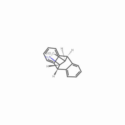 CCOC(=O)[C@H]1[C@H]2c3ccccc3[C@@H](c3ccccc32)[C@@H]1N